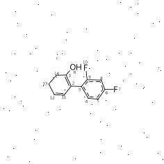 OC1=C(c2ccc(F)cc2F)C=CC[CH]1